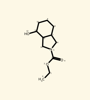 CCOC(=O)N1CC2CCCC(O)C2C1